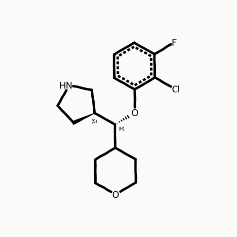 Fc1cccc(O[C@H](C2CCOCC2)[C@H]2CCNC2)c1Cl